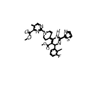 COC(=O)C1=C(C2CCN(c3ncc(C)c(C(=O)OC)n3)CC2)NC(c2nccs2)=NC1c1cccc(F)c1C